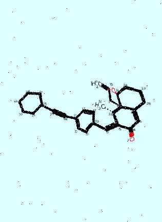 C=CC[C@@]12C(=CC(=O)/C(=C/c3ccc(C#CC4CCCCC4)cc3)[C@@H]1C)CCC[C@@H]2O